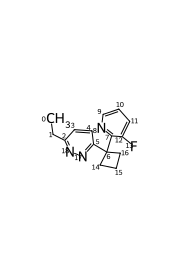 CCc1ccc(C2(c3ncccc3F)CCC2)nn1